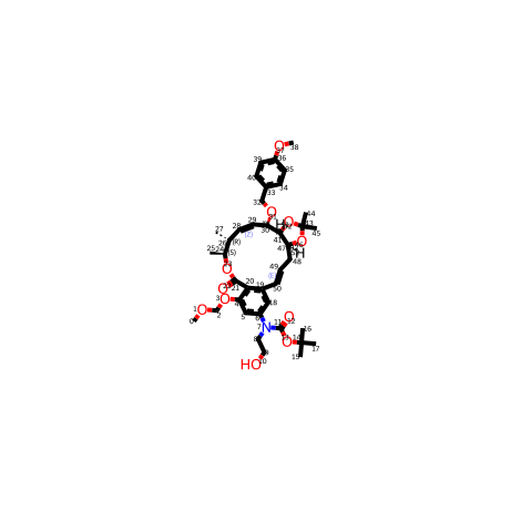 COCOc1cc(N(CCO)C(=O)OC(C)(C)C)cc2c1C(=O)O[C@@H](C)[C@H](C)/C=C\[C@@H](OCc1ccc(OC)cc1)[C@H]1OC(C)(C)O[C@H]1C/C=C/2